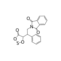 O=C1OSOC1C(CN1C(=O)c2ccccc2C1=O)c1ccccc1